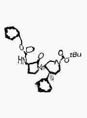 CC(C)(C)OC(=O)N1CC[C@@H](c2ccccc2)[C@H](N2CCC(NC(=O)OCc3ccccc3)C2=O)C1